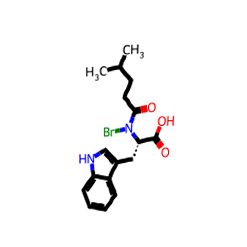 CC(C)CCC(=O)N(Br)[C@@H](Cc1c[nH]c2ccccc12)C(=O)O